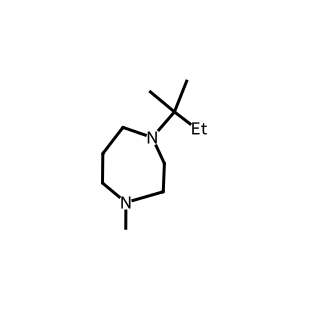 CCC(C)(C)N1CCCN(C)CC1